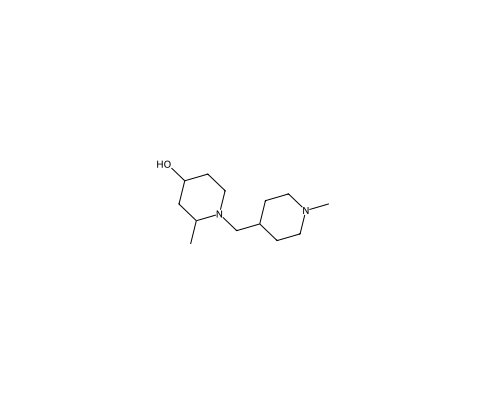 CC1CC(O)CCN1CC1CCN(C)CC1